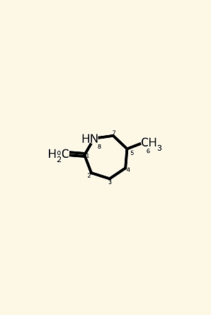 C=C1CCCC(C)CN1